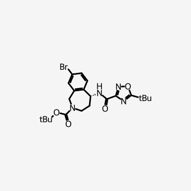 CC(C)(C)OC(=O)N1CC[C@@H](NC(=O)c2noc(C(C)(C)C)n2)c2ccc(Br)cc2C1